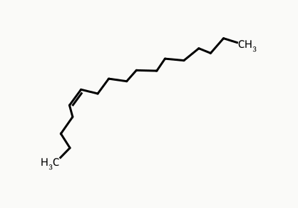 CCCC/C=C\CCCCCCCCCCC